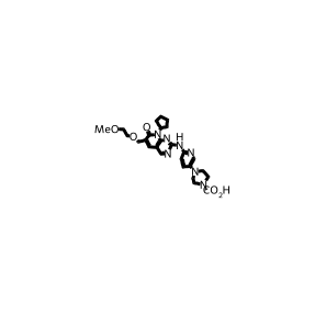 COCCOCc1cc2cnc(Nc3ccc(N4CCN(C(=O)O)CC4)cn3)nc2n(C2CCCC2)c1=O